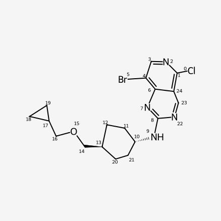 Clc1ncc(Br)c2nc(N[C@H]3CC[C@H](COCC4CC4)CC3)ncc12